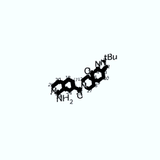 CC(C)(C)n1cc2c(n1)C(=O)C1(CC2)CCN(C(=O)c2ccc3ccnc(N)c3c2)CC1